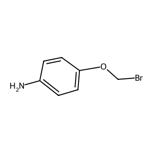 Nc1ccc(OCBr)cc1